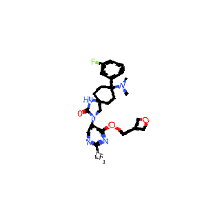 CN(C)C1(c2cccc(F)c2)CCC2(CC1)CN(c1cnc(C(F)(F)F)nc1OCC1COC1)C(=O)N2